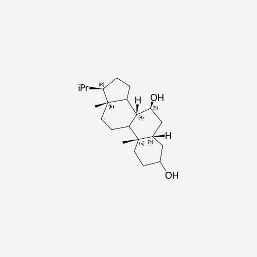 CC(C)[C@H]1CCC2[C@H]3C(CC[C@@]21C)[C@@]1(C)CCC(O)C[C@H]1C[C@@H]3O